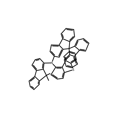 CC1(C)c2ccccc2-c2cccc(N(c3ccc4c(c3)C3(c5ccccc5-c5ccccc53)c3ccccc3-4)c3cccc4sc5ccccc5c34)c21